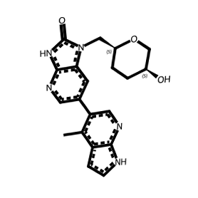 Cc1c(-c2cnc3[nH]c(=O)n(C[C@@H]4CC[C@H](O)CO4)c3c2)cnc2[nH]ccc12